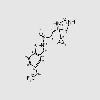 O=C(CC[C@]1(C2CC2)CNCN1)N1Cc2ccc(CC(F)(F)F)cc2C1